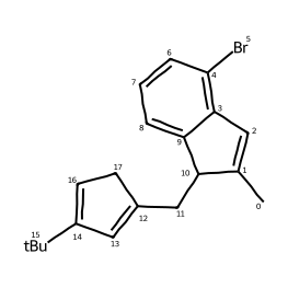 CC1=Cc2c(Br)cccc2C1CC1=CC(C(C)(C)C)=CC1